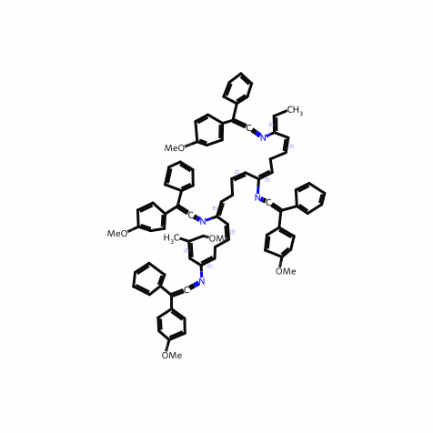 C/C=C(\C=C/C/C=C(\C=C/C/C=C(\C=C/C/C=C(\C=C(\C)COC)N=C=C(c1ccccc1)c1ccc(OC)cc1)N=C=C(c1ccccc1)c1ccc(OC)cc1)N=C=C(c1ccccc1)c1ccc(OC)cc1)N=C=C(c1ccccc1)c1ccc(OC)cc1